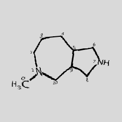 CN1CCCC2CNCC2C1